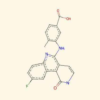 Cc1ccc(C(=O)O)cc1Nc1nc2ccc(F)cc2c2c1C=C[N]C2=O